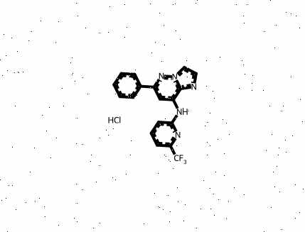 Cl.FC(F)(F)c1cccc(Nc2cc(-c3ccccc3)nn3ccnc23)n1